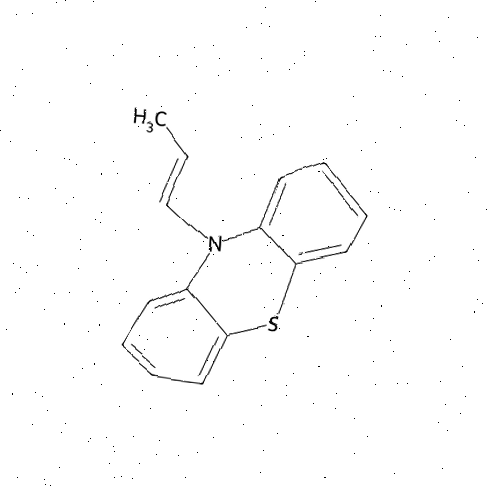 CC=CN1c2ccccc2Sc2ccccc21